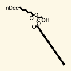 C#CC#CC#CC#CC#CC#CC#CC(=O)OC[C@@H](CO)OC(=O)CCCCCCCCCCCCCCC